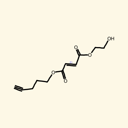 C#CCCCOC(=O)/C=C/C(=O)OCCO